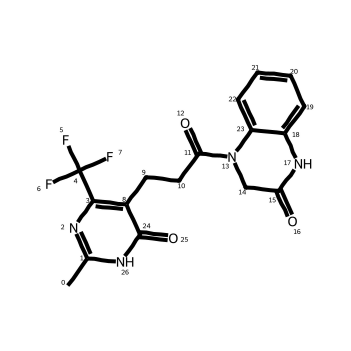 Cc1nc(C(F)(F)F)c(CCC(=O)N2CC(=O)Nc3ccccc32)c(=O)[nH]1